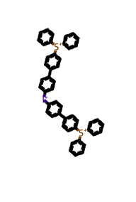 c1ccc([S+](c2ccccc2)c2ccc(-c3ccc([I+]c4ccc(-c5ccc([S+](c6ccccc6)c6ccccc6)cc5)cc4)cc3)cc2)cc1